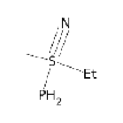 CCS(C)(#N)P